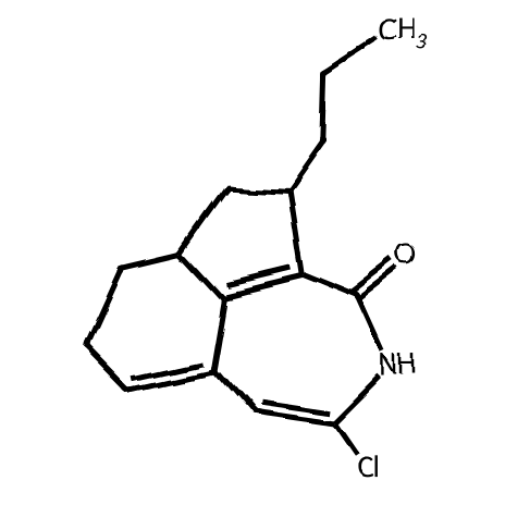 CCCC1CC2CCC=C3C=C(Cl)NC(=O)C1=C32